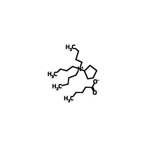 CCCCC(=O)[O-].CCCC[N+](CCCC)(CCCC)C1CCCC1